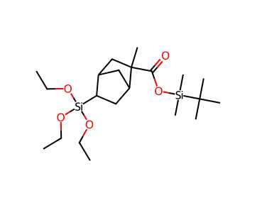 CCO[Si](OCC)(OCC)C1CC2CC1CC2(C)C(=O)O[Si](C)(C)C(C)(C)C